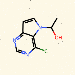 C[C](O)n1ccc2ncnc(Cl)c21